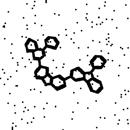 c1ccc(-c2nc(-c3ccc4oc5ccc(-c6ccc7c(c6)c6ccccc6n7-c6ccccc6)cc5c4c3)nc3ccccc23)cc1